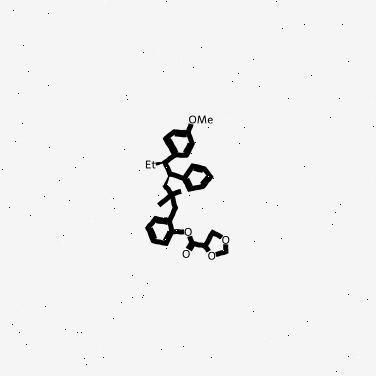 CC[C@@H](c1ccc(OC)cc1)[C@H](CC(C)(C)Cc1ccccc1OC(=O)C1COCO1)c1ccccc1